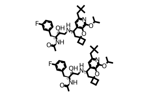 CC(=O)N[C@@H](Cc1cccc(F)c1)[C@H](O)CN[C@@H]1CC2(CCC2)Oc2c1cc(CC(C)(C)C)nc2OC(C)C.CC(=O)N[C@@H](Cc1cccc(F)c1)[C@H](O)CN[C@H]1CC2(CCC2)Oc2c1cc(CC(C)(C)C)nc2OC(C)C